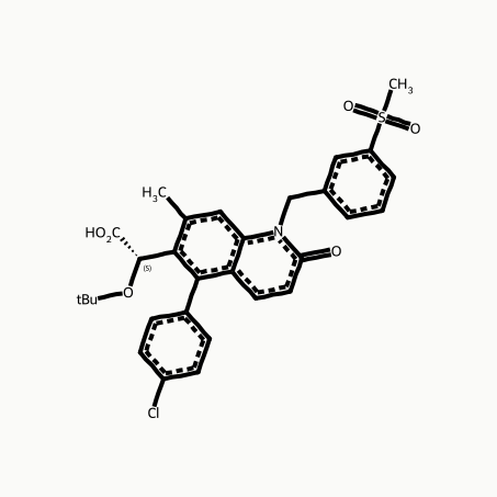 Cc1cc2c(ccc(=O)n2Cc2cccc(S(C)(=O)=O)c2)c(-c2ccc(Cl)cc2)c1[C@H](OC(C)(C)C)C(=O)O